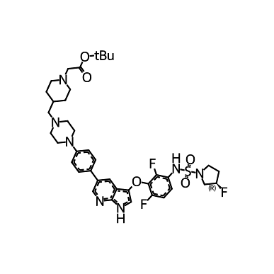 CC(C)(C)OC(=O)CN1CCC(CN2CCN(c3ccc(-c4cnc5[nH]cc(Oc6c(F)ccc(NS(=O)(=O)N7CC[C@@H](F)C7)c6F)c5c4)cc3)CC2)CC1